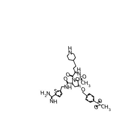 CS(=O)(=O)N[C@H](CCC1CCNCC1)C(=O)N1C[C@H](OCc2ccc(S(C)(=O)=O)cc2)C[C@H]1C(=O)NCc1ccc(C(=N)N)s1